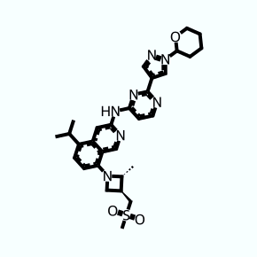 CC(C)c1ccc(N2C[C@H](CS(C)(=O)=O)[C@H]2C)c2cnc(Nc3ccnc(-c4cnn(C5CCCCO5)c4)n3)cc12